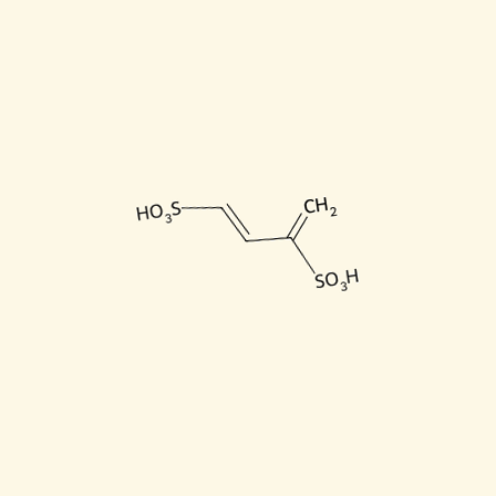 C=C(C=CS(=O)(=O)O)S(=O)(=O)O